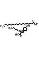 CCCCCCCCCCCCCCCCCC(=O)O.CCCCCNC(Cc1ccc(O)cc1)C(=O)O